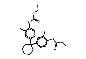 CCOC(=O)Oc1ccc(C2(c3ccc(OC(=O)OC)c(C)c3)CCCCC2)cc1C